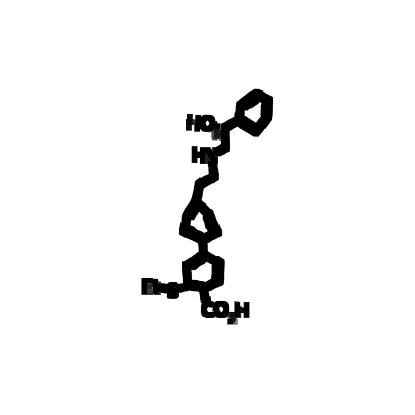 CCSc1cc(-c2ccc(CCNC[C@H](O)c3ccccc3)cc2)ccc1C(=O)O